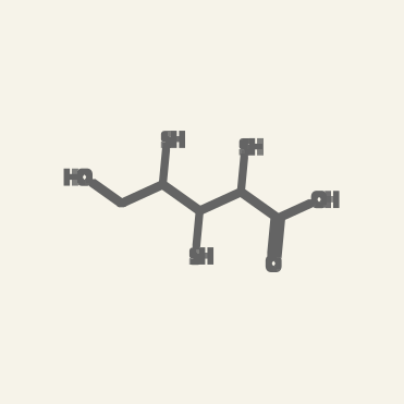 O=C(O)C(S)C(S)C(S)CO